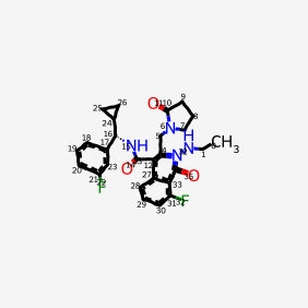 CCNn1c(CN2CCCC2=O)c(C(=O)N[C@H](c2cccc(F)c2)C2CC2)c2cccc(F)c2c1=O